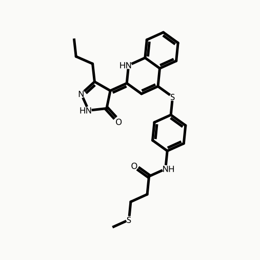 CCCC1=NNC(=O)C1=C1C=C(Sc2ccc(NC(=O)CCSC)cc2)c2ccccc2N1